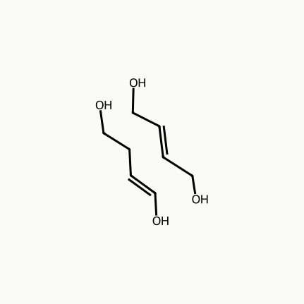 OC=CCCO.OCC=CCO